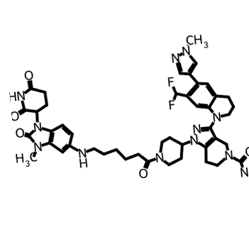 CNC(=O)N1CCc2c(c(N3CCCc4cc(-c5cnn(C)c5)c(C(F)F)cc43)nn2C2CCN(C(=O)CCCCCNc3ccc4c(c3)n(C)c(=O)n4C3CCC(=O)NC3=O)CC2)C1